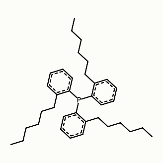 CCCCCCc1ccccc1P(c1ccccc1CCCCCC)c1ccccc1CCCCCC